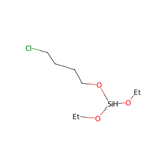 CCO[SiH](OCC)OCCCCCl